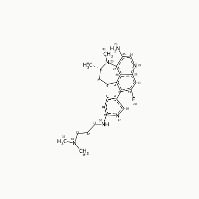 C[C@H]1CCc2c(-c3ccc(NCCCN(C)C)nc3)c(F)cc3ncc(N)c(c23)N1C